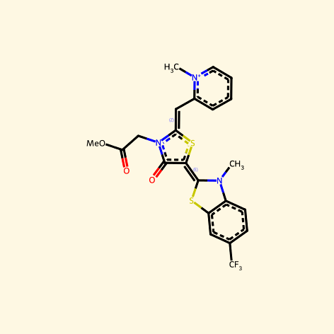 COC(=O)Cn1c(=O)/c(=C2\Sc3cc(C(F)(F)F)ccc3N2C)s/c1=C\c1cccc[n+]1C